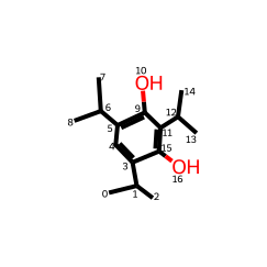 CC(C)c1cc(C(C)C)c(O)c(C(C)C)c1O